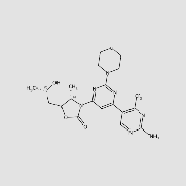 C[C@H](O)CC1OC(=O)N(c2cc(-c3cnc(N)nc3C(F)(F)F)nc(N3CCOCC3)n2)[C@H]1C